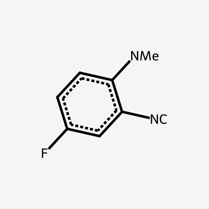 [C-]#[N+]c1cc(F)ccc1NC